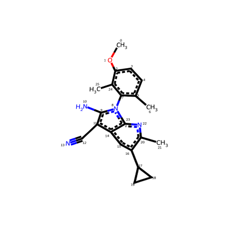 COc1ccc(C)c(-n2c(N)c(C#N)c3cc(C4CC4)c(C)nc32)c1C